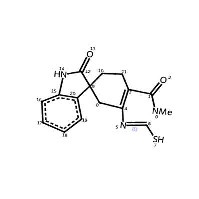 CNC(=O)C1=C(/N=C/S)CC2(CC1)C(=O)Nc1ccccc12